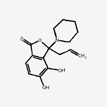 C=CCC1(N2CCCCC2)OC(=O)c2ccc(O)c(O)c21